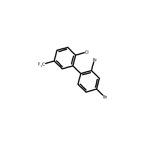 FC(F)(F)c1ccc(Cl)c(-c2[c]cc(Br)cc2Br)c1